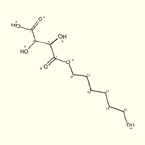 O=C(O)C(O)C(O)C(=O)OCCCCCCO